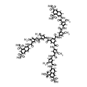 Cn1cc(NC(=O)c2cc(C(=O)Nc3cc(C(=O)Nc4cc(C(=O)Nc5ccc6cc(S(=O)(=O)O)cc(S(=O)(=O)O)c6c5)n(C)c4)n(C)c3)cc(C(=O)Nc3cc(C(=O)Nc4cc(C(=O)Nc5ccc6cc(S(=O)(=O)O)cc(S(=O)(=O)O)c6c5)n(C)c4)n(C)c3)c2)cc1C(=O)Nc1cc(C(=O)Nc2ccc3cc(S(=O)(=O)O)cc(S(=O)(=O)O)c3c2)n(C)c1